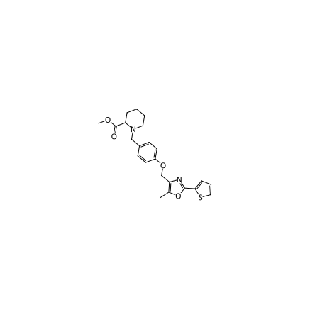 COC(=O)C1CCCCN1Cc1ccc(OCc2nc(-c3cccs3)oc2C)cc1